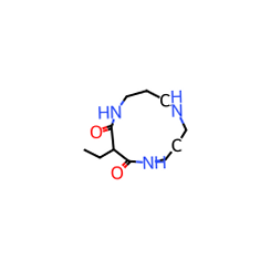 CCC1C(=O)NCCCNCCCNC1=O